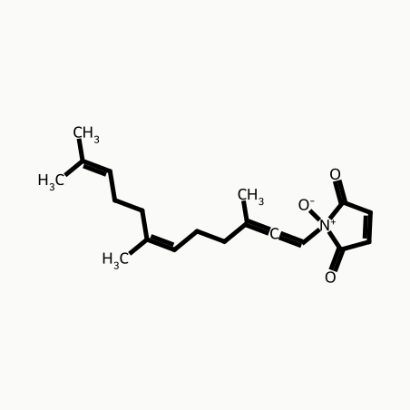 CC(=C=C[N+]1([O-])C(=O)C=CC1=O)CCC=C(C)CCC=C(C)C